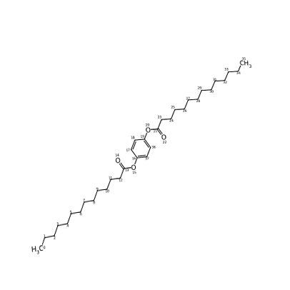 CCCCCCCCCCCCCC(=O)Oc1ccc(OC(=O)CCCCCCCCCCCCC)cc1